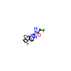 Cc1ccsc1-c1ccc2nc(NC(=O)C3CC3F)cn2c1